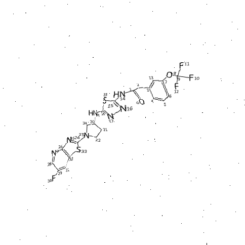 O=C(Cc1cccc(OC(F)(F)F)c1)Nc1nnc(N[C@@H]2CCN(c3nc4ncc(F)cc4s3)C2)s1